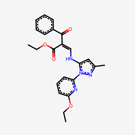 CCOC(=O)C(=CNc1cc(C)nn1-c1cccc(OCC)n1)C(=O)c1ccccc1